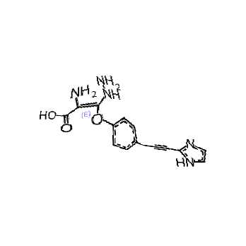 NN/C(Oc1ccc(C#Cc2ncc[nH]2)cc1)=C(\N)C(=O)O